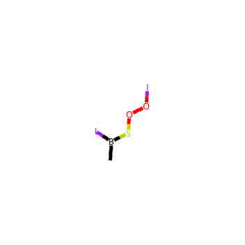 CB(I)SOOI